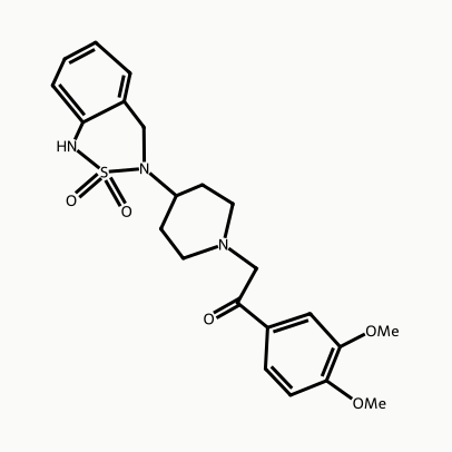 COc1ccc(C(=O)CN2CCC(N3Cc4ccccc4NS3(=O)=O)CC2)cc1OC